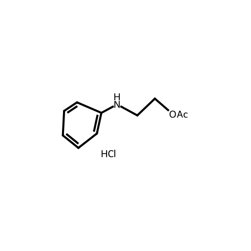 CC(=O)OCCNc1ccccc1.Cl